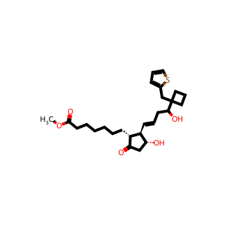 COC(=O)CCCCCC[C@H]1C(=O)C[C@@H](O)[C@@H]1/C=C/CC(O)C1(Cc2cccs2)CCC1